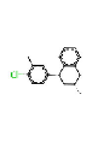 Cc1cc([C@@H]2C[C@@H](C)Cc3ccccc32)ccc1Cl